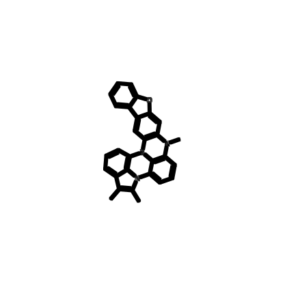 Cc1c(C)n2c3c(cccc13)B1c3cc4c(cc3N(C)c3cccc-2c31)oc1ccccc14